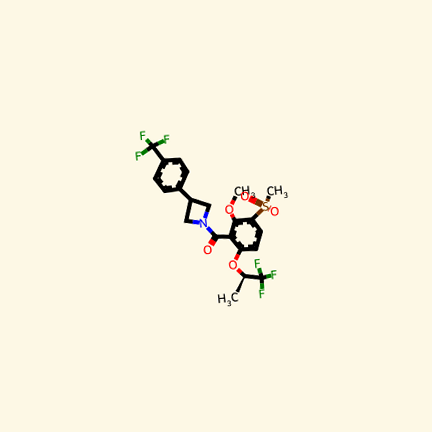 COc1c(S(C)(=O)=O)ccc(O[C@H](C)C(F)(F)F)c1C(=O)N1CC(c2ccc(C(F)(F)F)cc2)C1